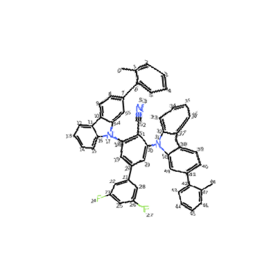 Cc1ccccc1-c1ccc2c3ccccc3n(-c3cc(-c4cc(F)cc(F)c4)cc(-n4c5ccccc5c5ccc(-c6ccccc6C)cc54)c3C#N)c2c1